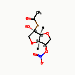 CC(=O)S[C@]1(O)CO[C@@H]2[C@H](O[N+](=O)[O-])CO[C@@H]21